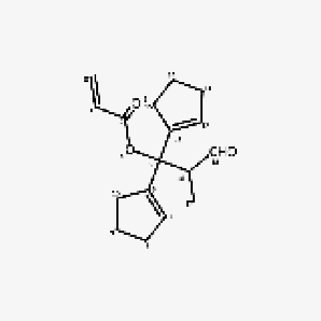 C=CC(=O)OC(C1=CCCC1)(C1=CCCC1)C(C)C=O